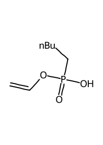 C=COP(=O)(O)CCCCC